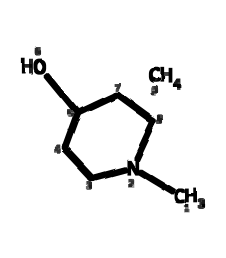 C.CN1CCC(O)CC1